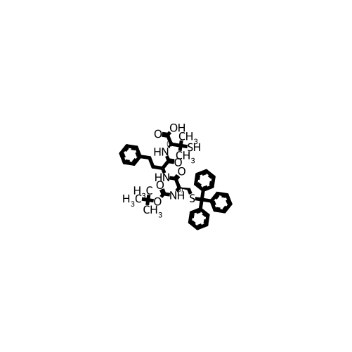 CC(C)(C)OC(=O)N[C@H](CSC(c1ccccc1)(c1ccccc1)c1ccccc1)C(=O)NC(CCc1ccccc1)C(=O)N[C@@H](C(=O)O)C(C)(C)S